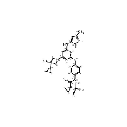 Cc1cc(Nc2cc(N3CC(F)(C4CC4)C3)nc(Sc3ccc(NC(=O)C4(C(F)(F)F)CC4)cc3)n2)[nH]n1